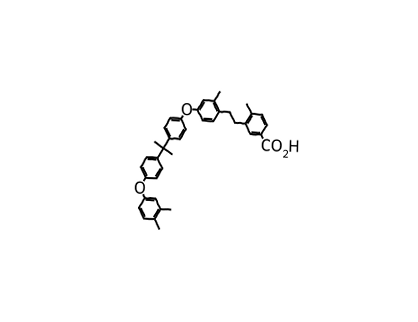 Cc1ccc(Oc2ccc(C(C)(C)c3ccc(Oc4ccc(CCc5cc(C(=O)O)ccc5C)c(C)c4)cc3)cc2)cc1C